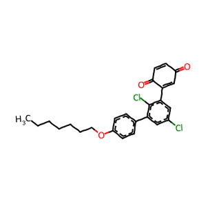 CCCCCCCOc1ccc(-c2cc(Cl)cc(C3=CC(=O)C=CC3=O)c2Cl)cc1